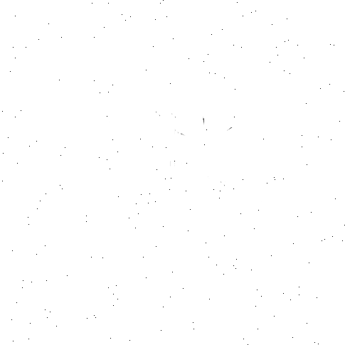 CN(C(=O)C1O[C@H](CO)[C@H](O)[C@H](n2cc(-c3cc(F)c(Cl)c(F)c3)nn2)[C@H]1O)c1cc(Cl)ccc1C(F)(F)F